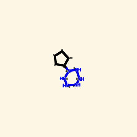 C1CC[C](N2NNNNN2)C1